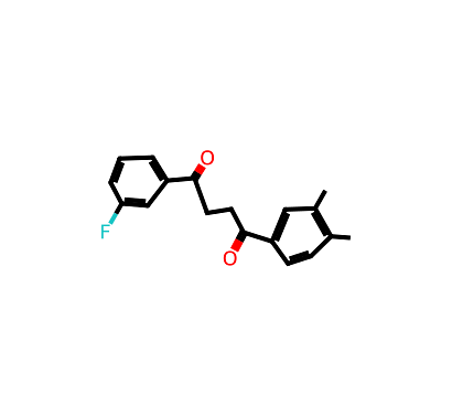 Cc1ccc(C(=O)CCC(=O)c2cccc(F)c2)cc1C